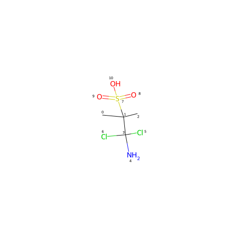 CC(C)(C(N)(Cl)Cl)S(=O)(=O)O